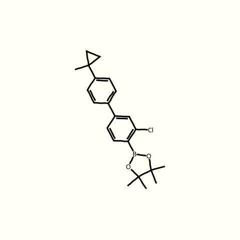 CC1(c2ccc(-c3ccc(B4OC(C)(C)C(C)(C)O4)c(Cl)c3)cc2)CC1